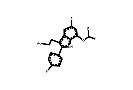 CC(=O)CCc1c(-c2ccc(F)cc2)[nH]c2c(OC(F)F)cc(F)cc12